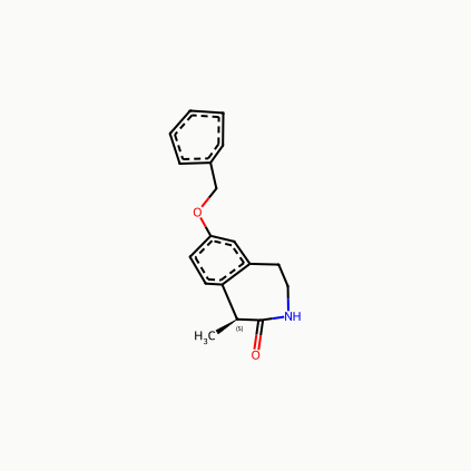 C[C@@H]1C(=O)NCCc2cc(OCc3ccccc3)ccc21